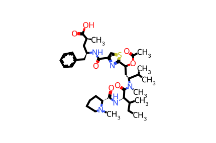 CCC(C)[C@H](NC(=O)[C@H]1CCCCN1C)C(=O)N(C)[C@H](CC(OC(C)=O)c1nc(C(=O)N[C@@H](Cc2ccccc2)C[C@H](C)C(=O)O)cs1)C(C)C